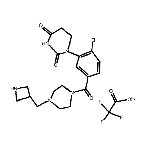 O=C(O)C(F)(F)F.O=C1CCN(c2cc(C(=O)N3CCN(CC4CNC4)CC3)ccc2Cl)C(=O)N1